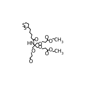 CCOC(=O)CCOCC(COCCC=O)(COCCC(=O)OCC)NC(=O)CCCCC1CCSS1